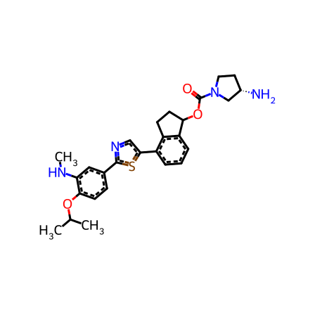 CNc1cc(-c2ncc(-c3cccc4c3CCC4OC(=O)N3CC[C@H](N)C3)s2)ccc1OC(C)C